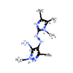 [C-]#[N+]c1nc(/N=N/c2c(C(C)(C)C)nn(C)c2N)n(C)c1[N+]#[C-]